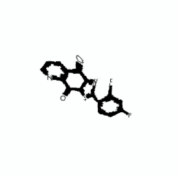 O=C1c2cccnc2C(=O)c2sc(-c3ccc(F)cc3F)nc21